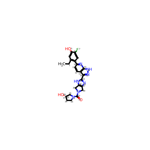 CCc1cc(O)c(F)cc1-c1ccc2c(-c3nc4c([nH]3)CN(C(=O)N3CC[C@H](O)C3)C4)n[nH]c2n1